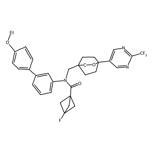 CCOc1ccc(-c2cccc(N(CC34CCC(c5cnc(C(F)(F)F)nc5)(CC3)OC4)C(=O)C34CC(F)(C3)C4)c2)cc1